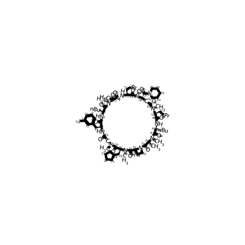 CCCC[C@@H]1NC(=O)[C@H](Cc2cccc(I)c2)NC(=O)CN(C)C(=O)[C@H](CC2CCCC2)N(C)C(=O)[C@@H]2CCN2C(=O)[C@H](C)N(C)C(=O)[C@H]([C@@H](C)CC)NC(=O)[C@H](CC(C)C)N(C)C(=O)C[C@@H](C(=O)N2CCCCC2)N(C)C(=O)[C@H](CC(C)C)NC(=O)C(C)(C)N(C)C1=O